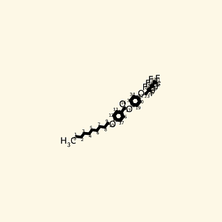 CCCCCCCCCCOc1ccc(C(=O)Oc2ccc(OCC(F)(F)C(F)(F)C(F)(F)F)cc2)cc1